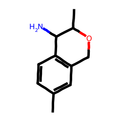 Cc1ccc2c(c1)COC(C)C2N